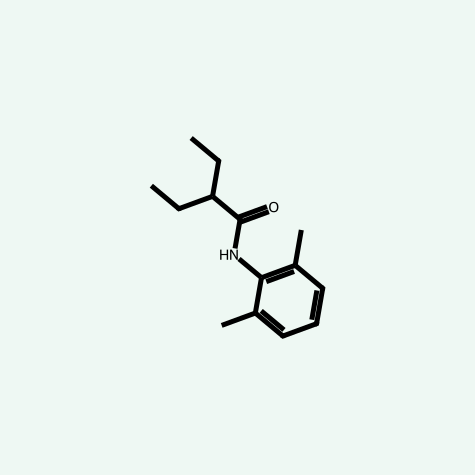 CCC(CC)C(=O)Nc1c(C)cccc1C